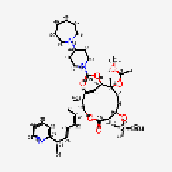 CCOC(C)O[C@]1(C)CC[C@@H](O[Si](C)(C)C(C)(C)C)CC(=O)O[C@H](/C(C)=C/C=C/[C@@H](C)c2ccccn2)[C@@H](C)/C=C/[C@H]1OC(=O)N1CCC(N2CCCCCC2)CC1